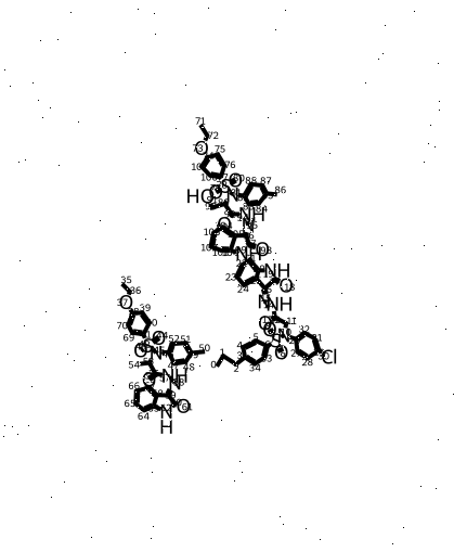 CCCc1ccc(S(=O)(=O)N(CC(=O)NN=C2C(=O)Nc3ccccc32)c2ccc(Cl)cc2)cc1.CCOc1ccc(S(=O)(=O)N(c2ccc(C)cc2)C(C)C(=O)NN=C2C(=O)Nc3ccccc32)cc1.CCOc1ccc(S(=O)(=O)N(c2ccc(C)cc2)C(CO)C(=O)NN=C2C(=O)Nc3ccccc32)cc1